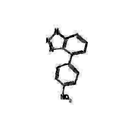 O=[N+]([O-])c1ccc(-c2cccc3c2N=N[N]3)cc1